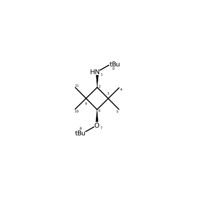 CC(C)(C)N[C@H]1C(C)(C)[C@@H](OC(C)(C)C)C1(C)C